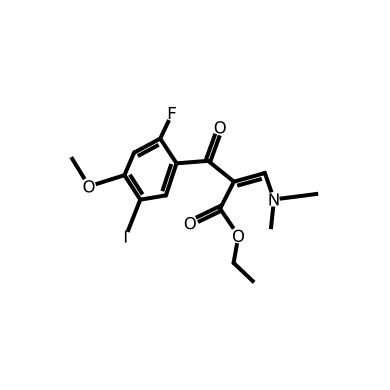 CCOC(=O)C(=CN(C)C)C(=O)c1cc(I)c(OC)cc1F